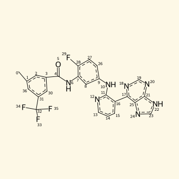 Cc1cc(C(=O)Nc2cc(Nc3ncccc3-c3ncnc4[nH]cnc34)ccc2F)cc(C(F)(F)F)c1